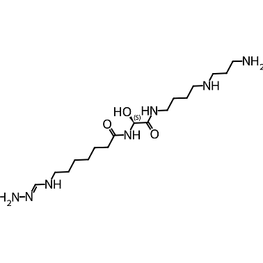 NCCCNCCCCNC(=O)[C@H](O)NC(=O)CCCCCCNC=NN